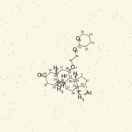 CC(=O)[C@H]1CC[C@H]2[C@@H]3[C@H](OCCOC4CCCCO4)C[C@H]4CC(=O)CC[C@]4(C)[C@H]3CC[C@]12C